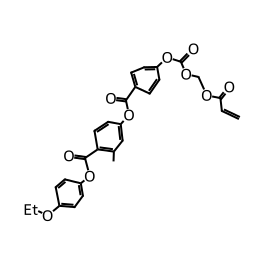 C=CC(=O)OCOC(=O)Oc1ccc(C(=O)Oc2ccc(C(=O)Oc3ccc(OCC)cc3)c(C)c2)cc1